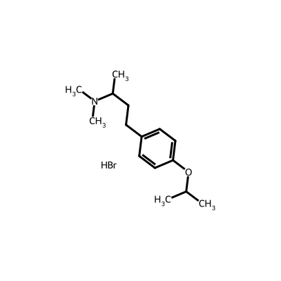 Br.CC(C)Oc1ccc(CCC(C)N(C)C)cc1